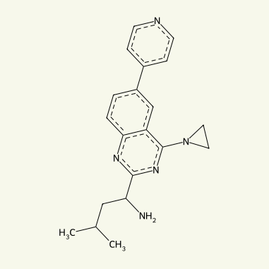 CC(C)CC(N)c1nc(N2CC2)c2cc(-c3ccncc3)ccc2n1